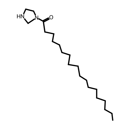 CCCCCCCCCCCCCCCCCC(=O)N1CCNC1